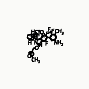 Cc1cc(N)cc(-c2nc3c4c(nc(OCC56COC(C)(C5)C6)nc4c2F)N2C[C@H]4CC[C@H](N4)[C@H]2CCO3)c1C(F)(F)F